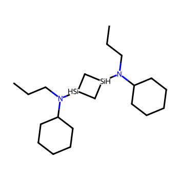 CCCN(C1CCCCC1)[SiH]1C[SiH](N(CCC)C2CCCCC2)C1